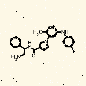 Cc1cnc(Nc2ccc(F)cc2)cc1-n1ccc(C(=O)NC(CN)c2ccccc2)c1